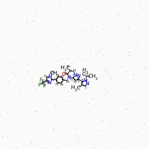 Cc1cnn(C(C)C)c1-c1cc2n(n1)CC(C)C(=O)N2Cc1ccc(-c2nc(C(F)(F)F)cn2C)cc1